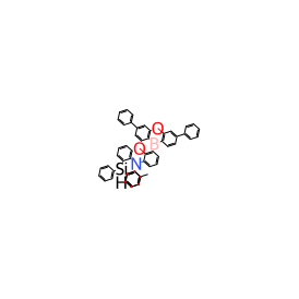 Cc1ccccc1N(c1ccccc1[SiH](c1ccccc1)c1ccccc1)c1cccc2c1Oc1cc(-c3ccccc3)cc3c1B2c1ccc(-c2ccccc2)cc1O3